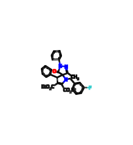 CCOC(=O)C1=C(C(=O)OCC)N(Cc2cccc(F)c2)C2(C(=O)N(c3ccccc3)N=C2C)C1c1ccccc1